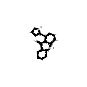 O=c1c2ccccc2[nH]c2cccc(-c3cccs3)c12